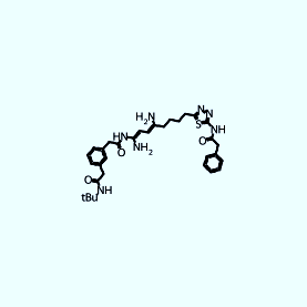 CC(C)(C)NC(=O)Cc1cccc(CC(=O)N/C(N)=C/C=C(\N)CCCCc2nnc(NC(=O)Cc3ccccc3)s2)c1